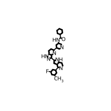 Cc1cc(F)cc(-c2nccc3[nH]c(-c4n[nH]c5ccc(-c6cncc(NC(=O)c7ccccc7)c6)nc45)cc23)c1